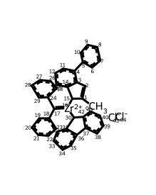 CC1=Cc2c(-c3ccccc3)cccc2[CH]1[Zr+2](=[C](c1ccccc1)c1ccccc1)[CH]1c2ccccc2-c2ccccc21.[Cl-].[Cl-]